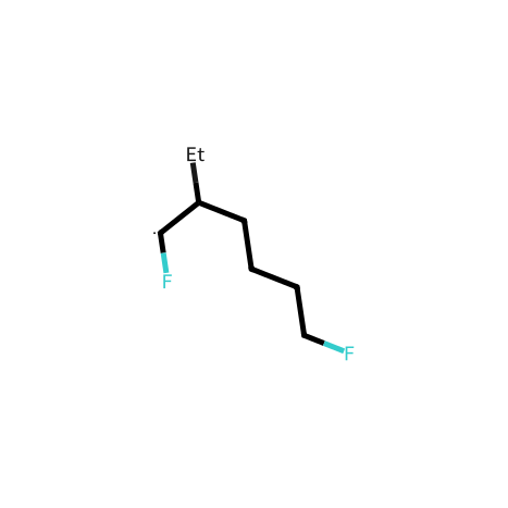 CCC([CH]F)CCCCF